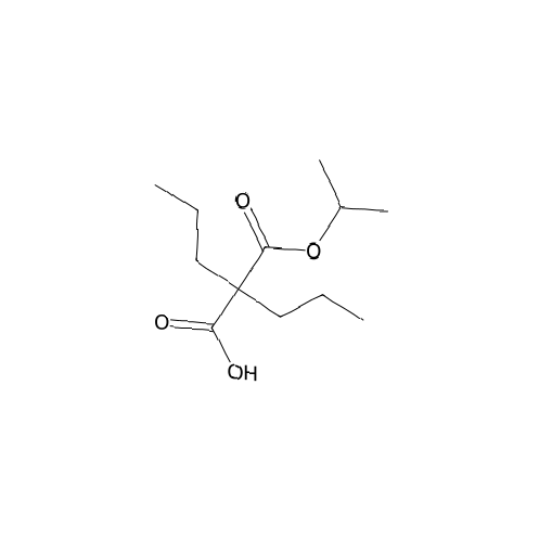 CCCC(CCC)(C(=O)O)C(=O)OC(C)C